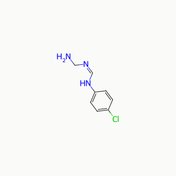 NC/N=C\Nc1ccc(Cl)cc1